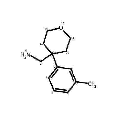 NCC1(c2cccc(C(F)(F)F)c2)CCOCC1